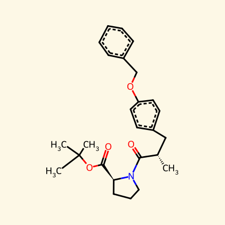 C[C@@H](Cc1ccc(OCc2ccccc2)cc1)C(=O)N1CCC[C@H]1C(=O)OC(C)(C)C